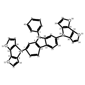 c1ccc(-n2c3cc(-n4c5ccoc5c5occc54)ccc3c3ccc(-n4c5ccoc5c5occc54)cc32)cc1